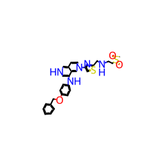 CS(=O)(=O)CCNCc1nc(N2C=CC3=CNC=C(Nc4ccc(OCc5ccccc5)cc4)C3=C2)cs1